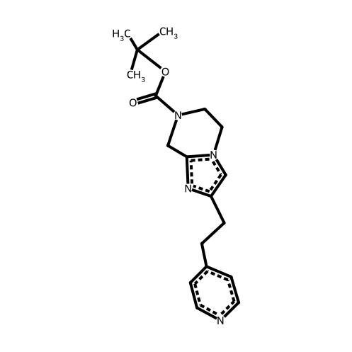 CC(C)(C)OC(=O)N1CCn2cc(CCc3ccncc3)nc2C1